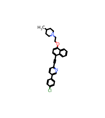 CC1CCN(CCOc2ccc(C#Cc3ccc(-c4ccc(Cl)cc4)cn3)c3ccccc23)CC1